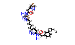 Cc1cccc(CC(=O)Nc2ccc(CCCCc3nnc(NC(=O)Cc4cscn4)s3)nn2)c1